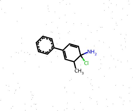 CC1C=C(c2ccccc2)C=CC1(N)Cl